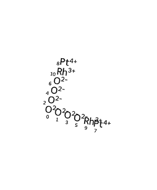 [O-2].[O-2].[O-2].[O-2].[O-2].[O-2].[O-2].[Pt+4].[Pt+4].[Rh+3].[Rh+3]